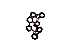 N#Cc1ccc(-n2c3ccccc3c3ccccc32)c(-c2ccccc2-c2cccc(-n3c4ccccc4c4cccc(C#N)c43)c2)c1